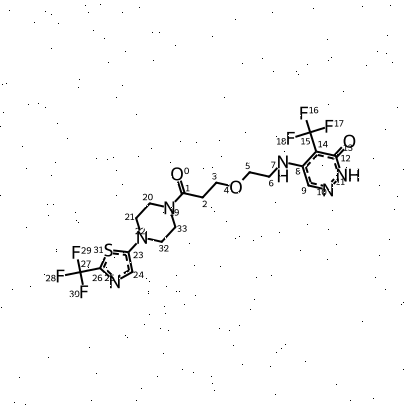 O=C(CCOCCNc1cn[nH]c(=O)c1C(F)(F)F)N1CCN(c2cnc(C(F)(F)F)s2)CC1